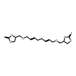 S=C1OC(COC/C=C/CC/C=C/COCC2CSC(=S)O2)CS1